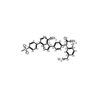 CS(=O)(=O)c1ccc(-c2cnc(N)c3c(-c4ccc(N(C(N)=O)c5cc(CN)ccc5F)cc4)csc23)cc1